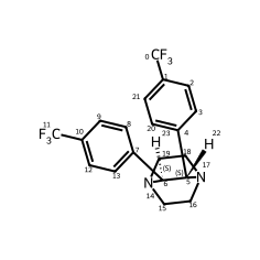 FC(F)(F)c1ccc([C@H]2[C@H](c3ccc(C(F)(F)F)cc3)N3CCN2CC3)cc1